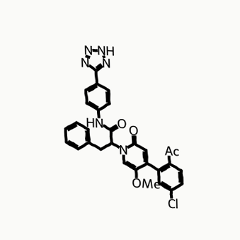 COc1cn(C(Cc2ccccc2)C(=O)Nc2ccc(-c3nn[nH]n3)cc2)c(=O)cc1-c1cc(Cl)ccc1C(C)=O